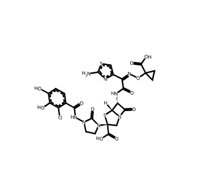 Nc1nc(/C(=N/OC2(C(=O)O)CC2)C(=O)N[C@@H]2C(=O)N3C[C@@](C(=O)O)(N4CCN(NC(=O)c5ccc(O)c(O)c5Cl)C4=O)S[C@H]23)cs1